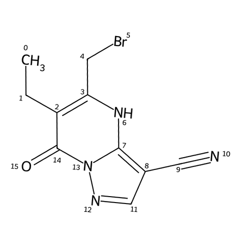 CCc1c(CBr)[nH]c2c(C#N)cnn2c1=O